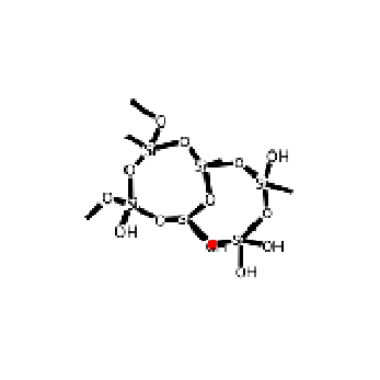 CO[Si]1(C)O[Si]2(C)O[Si](C)(O)O[Si](O)(O)O[Si](O)(O2)O[Si](O)(OC)O1